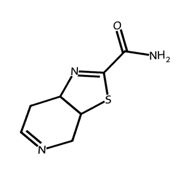 NC(=O)C1=NC2CC=NCC2S1